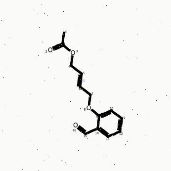 CC(=O)OC/C=C/COc1ccccc1C=O